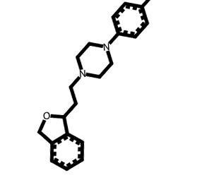 COc1ccc(N2CCN(CCC3OCc4ccccc43)CC2)cc1